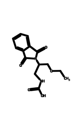 CCOCC(CNC(=O)O)N1C(=O)c2ccccc2C1=O